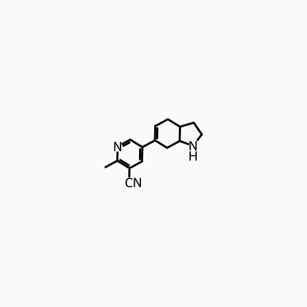 Cc1ncc(C2=CCC3CCNC3C2)cc1C#N